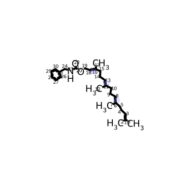 CC(C)=CCC/C(C)=C/CC/C(C)=C/CC/C(C)=C/COC(=O)NCc1ccccc1